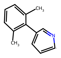 Cc1cccc(C)c1-c1cc[c]nc1